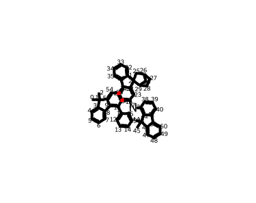 CC1(C)c2ccccc2-c2c(-c3ccccc3N(c3ccc4c(c3)C3(CC5CCC3C5)c3ccccc3-4)c3cccc4c3C(C)(C)c3ccccc3-4)cccc21